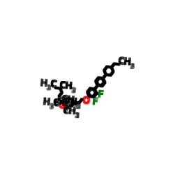 CCCC1CCC(c2ccc(-c3ccc(OCCCC[Si](C)(C)O[Si](C)(C)CCC(C)CC)c(F)c3F)cc2)CC1